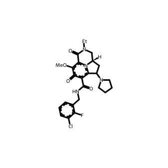 CCN1C[C@@H]2CC(N3CCCC3)c3c(C(=O)NCc4cccc(Cl)c4F)c(=O)c(OC)c(n32)C1=O